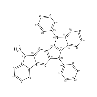 Nn1c2ccccc2c2cc3c(cc21)c1c(c2ccccc2n1-c1ccccc1)n3-c1ccccc1